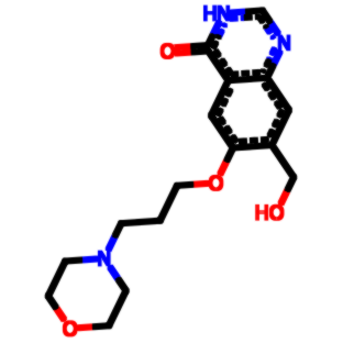 O=c1[nH]cnc2cc(CO)c(OCCCN3CCOCC3)cc12